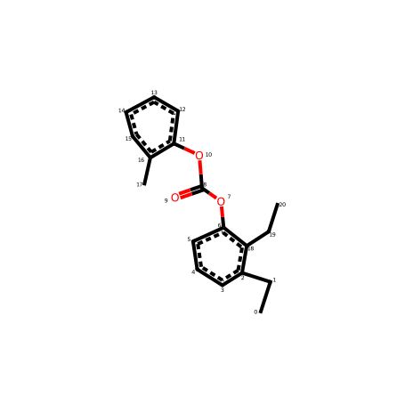 CCc1cccc(OC(=O)Oc2ccccc2C)c1CC